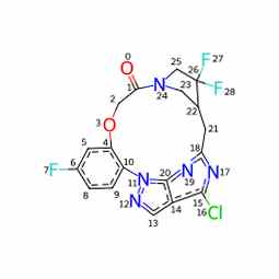 O=C1COc2cc(F)ccc2-n2ncc3c(Cl)nc(nc32)CC2CN1CC2(F)F